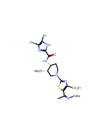 CCOC(=O)c1nc(N2CC[C@@H](NC(=O)c3nc(Cl)c(CC)[nH]3)[C@@H](OC)C2)sc1/C(C)=N\OC